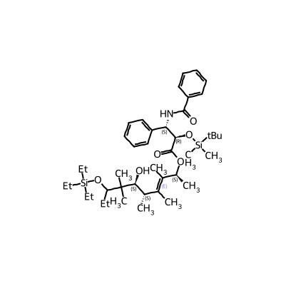 CCC(O[Si](CC)(CC)CC)C(C)(C)[C@@H](O)[C@@H](C)/C(C)=C(\C)[C@H](C)OC(=O)[C@H](O[Si](C)(C)C(C)(C)C)[C@@H](NC(=O)c1ccccc1)c1ccccc1